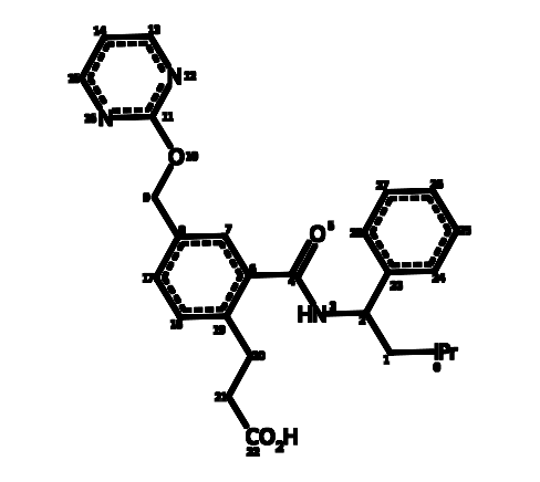 CC(C)CC(NC(=O)c1cc(COc2ncccn2)ccc1CCC(=O)O)c1ccccc1